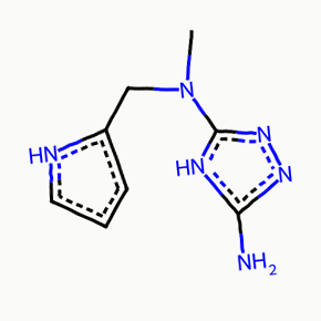 CN(Cc1ccc[nH]1)c1nnc(N)[nH]1